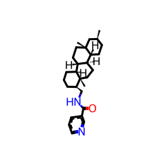 C[C@H]1CC[C@@H]2[C@H]3CC[C@]4(C)[C@@H](CNC(=O)c5cccnc5)CCC[C@H]4[C@@H]3CC[C@]2(C)C1